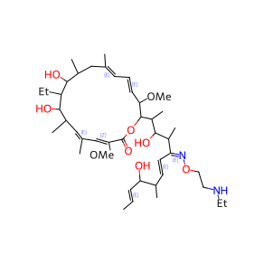 C/C=C/C(O)C(C)/C=C/C(=N\OCCNCC)C(C)C(O)C(C)C1OC(=O)/C(OC)=C/C(C)=C/C(C)C(O)C(CC)C(O)C(C)C/C(C)=C/C=C/C1OC